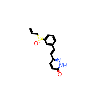 C=CC[S+]([O-])c1cccc(/C=C/c2ccc(=O)[nH]n2)c1